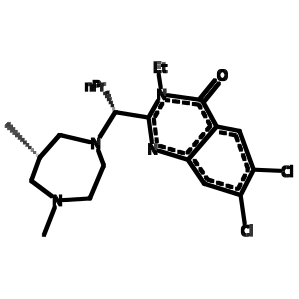 CCC[C@H](c1nc2cc(Cl)c(Cl)cc2c(=O)n1CC)N1CCN(C)C[C@H](C)C1